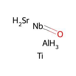 [AlH3].[O]=[Nb].[SrH2].[Ti]